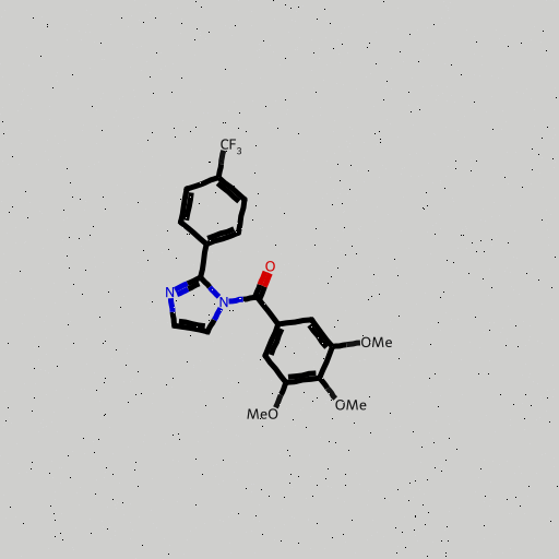 COc1cc(C(=O)n2ccnc2-c2ccc(C(F)(F)F)cc2)cc(OC)c1OC